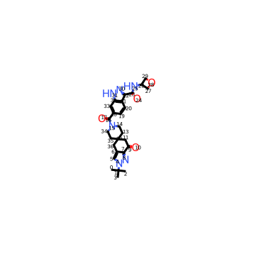 CC(C)(C)n1cc2c(n1)C(=O)CC1(CCN(C(=O)c3ccc4c(C(=O)NC5COC5)n[nH]c4c3)CC1)C2